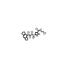 COCCN(C)C(=O)c1cc([S+]([O-])NC(=O)Nc2c3c(cc4c2CCC4)CCC3)nn1C